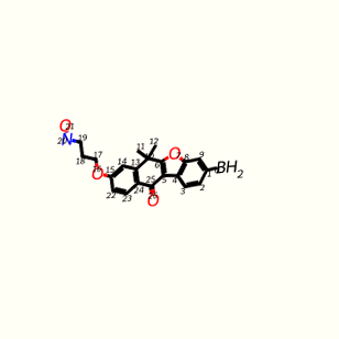 Bc1ccc2c3c(oc2c1)C(C)(C)c1cc(OCCCN=O)ccc1C3=O